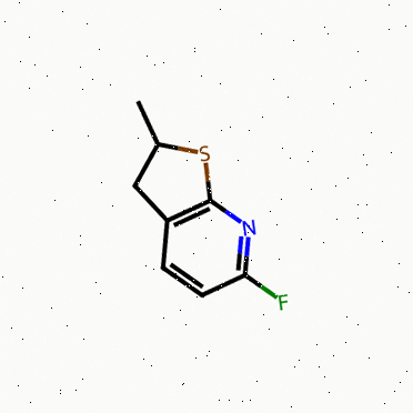 CC1Cc2ccc(F)nc2S1